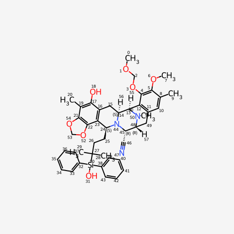 COCOc1c(OC)c(C)cc2c1[C@@H]1[C@@H]3Cc4c(O)c(C)c5c(c4[C@H](CCC(C)(C)[Si](O)(c4ccccc4)c4ccccc4)N3[C@@H](C#N)[C@@H](C2)N1C)OCO5